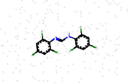 Fc1cc(F)c(/N=C/Nc2c(F)cc(F)cc2F)c(F)c1